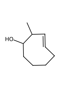 CC1/C=C/CCCCC1O